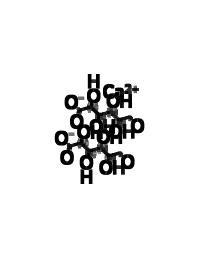 O=C[C@H](O)[C@@H](O)[C@@H](O)[C@H](O)C(=O)[O-].O=C[C@H](O)[C@@H](O)[C@@H](O)[C@H](O)C(=O)[O-].[Ca+2]